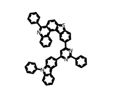 c1ccc(-c2nc(-c3ccc4sc5ccc6c(-c7ccccc7)nc7ccccc7c6c5c4c3)cc(-c3ccc4c(c3)c3ccccc3n4-c3ccccc3)n2)cc1